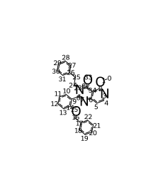 COc1nccc2nc(-c3ccccc3OCc3ccccc3)n(CCc3ccccc3)c(=O)c12